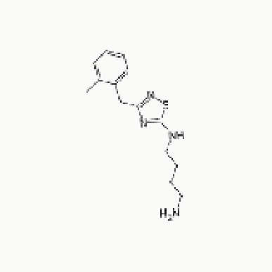 Cc1ccccc1Cc1nsc(NCCCCN)n1